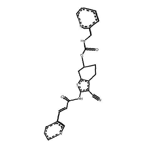 N#Cc1c(NC(=O)/C=C/c2cccnc2)sc2c1CCC(OC(=O)NCc1ccccn1)C2